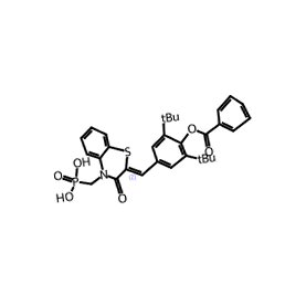 CC(C)(C)c1cc(/C=C2\Sc3ccccc3N(CP(=O)(O)O)C2=O)cc(C(C)(C)C)c1OC(=O)c1ccccc1